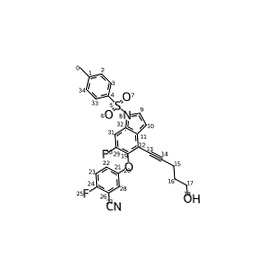 Cc1ccc(S(=O)(=O)n2ccc3c(C#CCCCO)c(Oc4ccc(F)c(C#N)c4)c(F)cc32)cc1